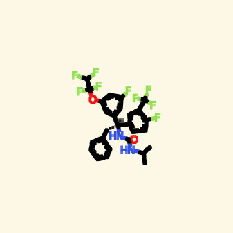 CC(C)NC(=O)N[C@@](Cc1ccccc1)(c1cc(F)cc(OC(F)(F)C(F)F)c1)c1ccc(F)c(C(F)(F)F)c1